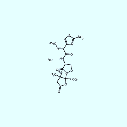 CON=C(C(=O)N[C@H]1CON(C2(C(=O)[O-])OC(=O)CC2(C)C)C1=O)c1csc(N)n1.[Na+]